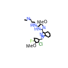 C=C/N=C\C=C\NC1=C(OC)C=NC(c2nn(Cc3ccc(F)c(OC)c3Cl)c3ccccc23)N1